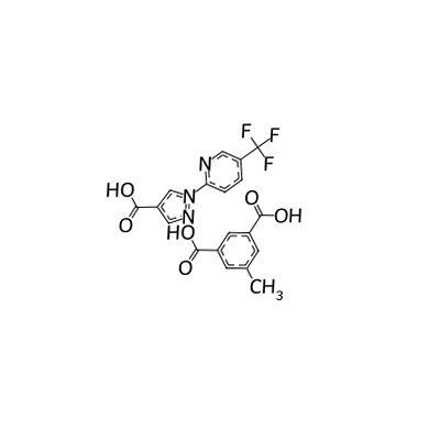 Cc1cc(C(=O)O)cc(C(=O)O)c1.O=C(O)c1cnn(-c2ccc(C(F)(F)F)cn2)c1